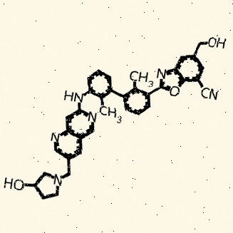 Cc1c(Nc2cc3ncc(CN4CCC(O)C4)cc3cn2)cccc1-c1cccc(-c2nc3cc(CO)cc(C#N)c3o2)c1C